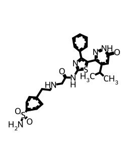 CC(C)c1cc(=O)[nH]nc1-c1sc(NC(=O)CNCCc2ccc(S(N)(=O)=O)cc2)nc1-c1ccccc1